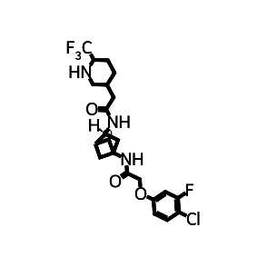 O=C(CC1CCC(C(F)(F)F)NC1)N[C@H]1CC2(NC(=O)COc3ccc(Cl)c(F)c3)CC1C2